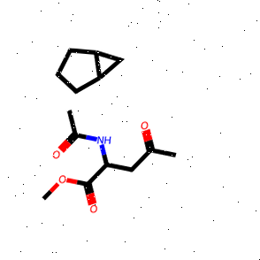 C1CC2CC2C1.COC(=O)C(CC(C)=O)NC(C)=O